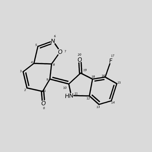 O=C1C=CC2C=NOC2/C1=C1/Nc2cccc(F)c2C1=O